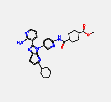 COC(=O)C1CCC(C(=O)Nc2ccc(-n3c(-c4cccnc4N)nc4ccc(C5CCCCC5)nc43)cn2)CC1